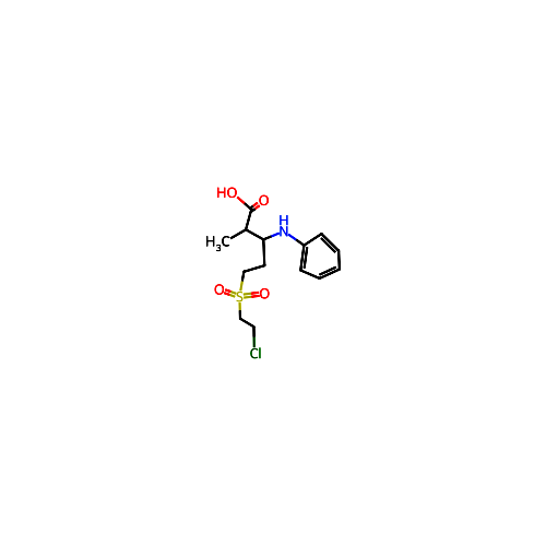 CC(C(=O)O)C(CCS(=O)(=O)CCCl)Nc1ccccc1